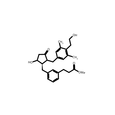 COC(=O)CCc1cccc(C[C@H]2C(O)CC(=O)C2Cc2cc(C)c(CCO)c(C)c2)c1